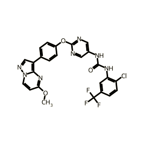 COc1ccn2ncc(-c3ccc(Oc4ncc(NC(=O)Nc5cc(C(F)(F)F)ccc5Cl)cn4)cc3)c2n1